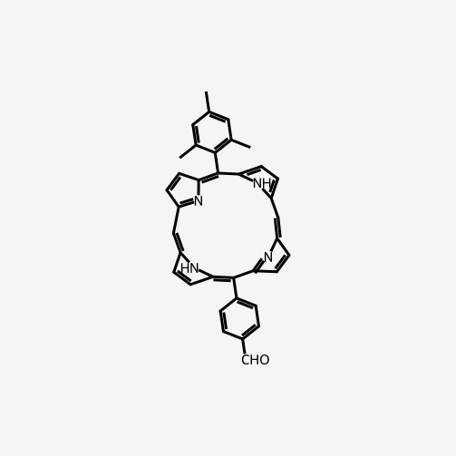 Cc1cc(C)c(-c2c3nc(cc4ccc([nH]4)c(-c4ccc(C=O)cc4)c4nc(cc5ccc2[nH]5)C=C4)C=C3)c(C)c1